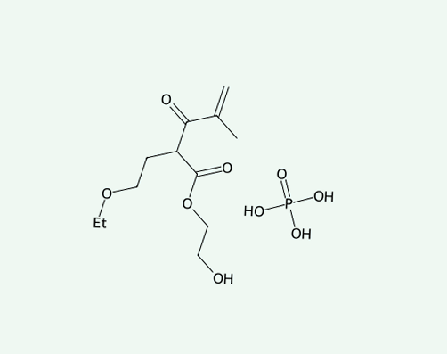 C=C(C)C(=O)C(CCOCC)C(=O)OCCO.O=P(O)(O)O